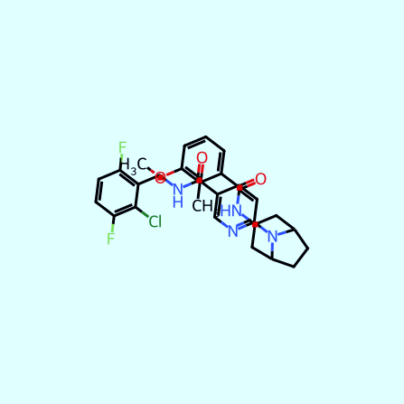 COc1cccc(C(=O)NC2CC3CCC(C2)N3c2ccc(C(=O)NCc3c(F)ccc(F)c3Cl)cn2)c1C